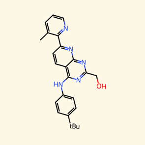 Cc1cccnc1-c1ccc2c(Nc3ccc(C(C)(C)C)cc3)nc(CO)nc2n1